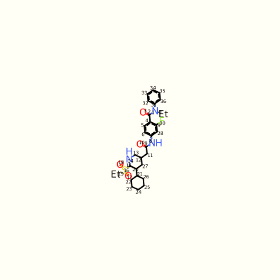 CCN(C(=O)c1ccc(NC(=O)CC2CNC(S(=O)(=O)CC)C(C3CCCCC3)C2)cc1F)c1ccccc1